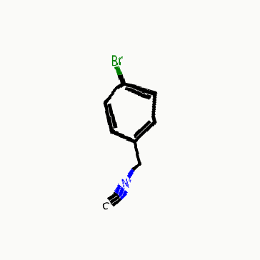 [C-]#[N+]Cc1ccc(Br)cc1